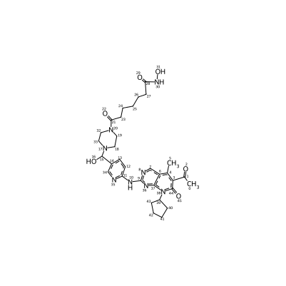 CC(=O)c1c(C)c2cnc(Nc3ccc(C(O)N4CCN(C(=O)CCCCCC(=O)NO)CC4)cn3)nc2n(C2CCCC2)c1=O